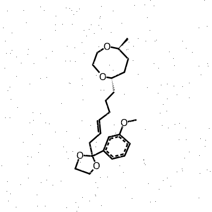 COc1cccc(C2(CC=CCCC[C@H]3CC[C@H](C)OCCO3)OCCO2)c1